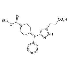 CC(C)(C)OC(=O)N1CCC(=C(c2ccccc2)c2cc(CCC(=O)O)[nH]n2)CC1